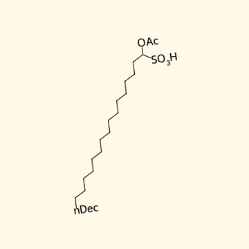 CCCCCCCCCCCCCCCCCCCCCCCCCC(OC(C)=O)S(=O)(=O)O